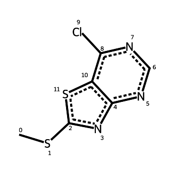 CSc1nc2ncnc(Cl)c2s1